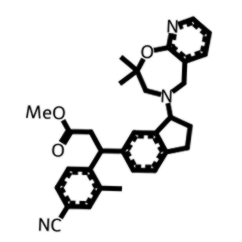 COC(=O)CC(c1ccc2c(c1)C(N1Cc3cccnc3OC(C)(C)C1)CC2)c1ccc(C#N)cc1C